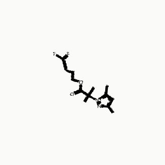 Cc1cc(C)n(C(C)(C)C(=O)OCCC=C(F)F)n1